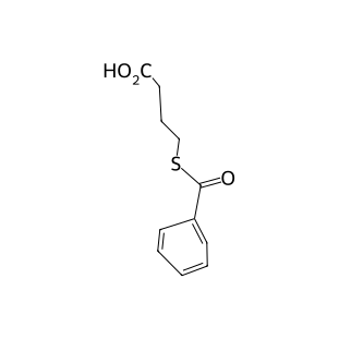 O=C(O)CCCSC(=O)c1ccccc1